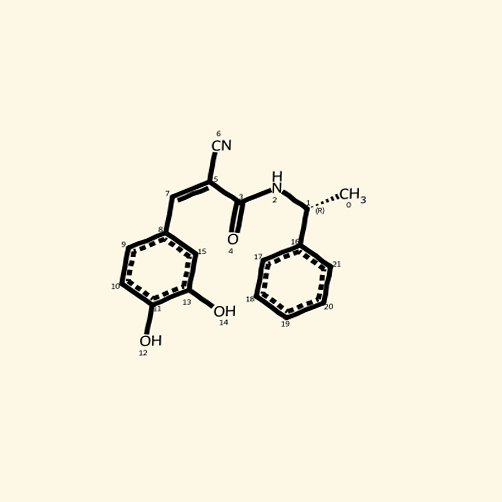 C[C@@H](NC(=O)C(C#N)=Cc1ccc(O)c(O)c1)c1ccccc1